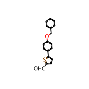 O=Cc1ccc(-c2ccc(OCc3ccccc3)cc2)s1